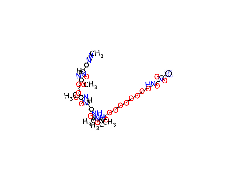 COc1cc2c(cc1OCCCOc1cc3c(cc1OC)C(=O)N1C=C(c4ccc(N5CCN(C)CC5)cc4)C[C@H]1C=N3)N=C[C@@H]1CC(c3ccc(NC(=O)[C@H](C)NC(=O)[C@@H](NC(=O)CCOCCOCCOCCOCCOCCOCCOCCOCCNC(=O)CCN4C(=O)CC(C5=C/C=C\C=C/C=C\5)C4=O)C(C)C)cc3)=CN1C2=O